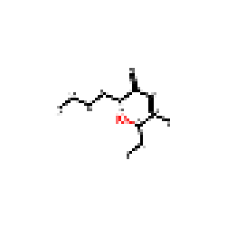 C=C(C=C(C)C(O)CC)CCCCC